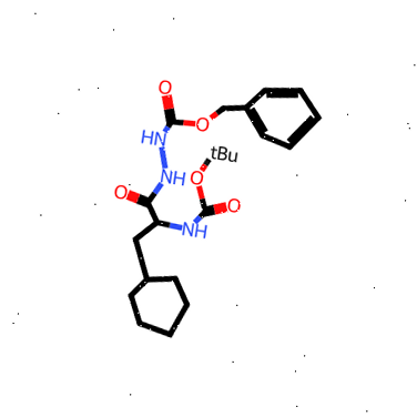 CC(C)(C)OC(=O)NC(CC1CCCCC1)C(=O)NNC(=O)OCc1ccccc1